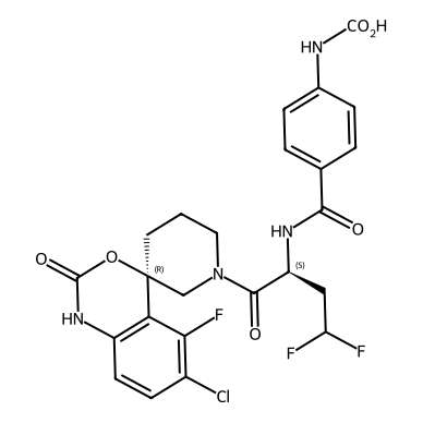 O=C(O)Nc1ccc(C(=O)N[C@@H](CC(F)F)C(=O)N2CCC[C@@]3(C2)OC(=O)Nc2ccc(Cl)c(F)c23)cc1